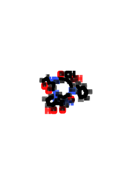 C[C@H]1NC(=O)C(C2CCO2)NC(=O)[C@H](C)[C@H](O)[C@H](Cc2ccccc2)NC(=O)[C@H]1NC(=O)c1ncccc1O